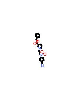 N#Cc1ccc(N2CC(CN3CCCC(C(=O)OCc4ccccc4)C3)OC2=O)cc1